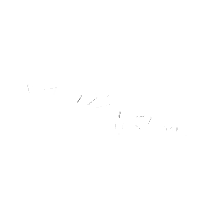 CCCCCCCc1cc2cc(C(=O)Oc3ccc(CCCCC)cc3)sc2s1